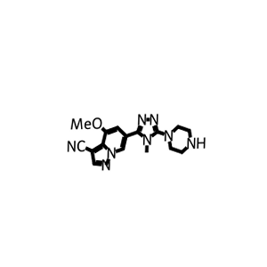 COc1cc(-c2nnc(N3CCNCC3)n2C)cn2ncc(C#N)c12